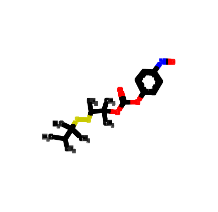 CC(SSC(C)(C)C(C)C)C(C)(C)OC(=O)Oc1ccc(N=O)cc1